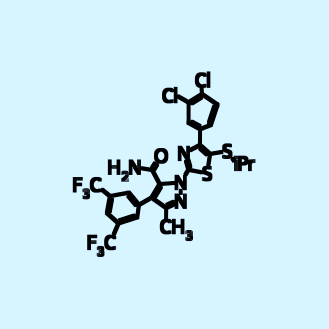 Cc1nn(-c2nc(-c3ccc(Cl)c(Cl)c3)c(SC(C)C)s2)c(C(N)=O)c1-c1cc(C(F)(F)F)cc(C(F)(F)F)c1